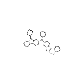 c1ccc(N(c2ccc3c(c2)sc2ccc4ccccc4c23)c2ccc3c4ccccc4n(-c4ccccc4)c3c2)cc1